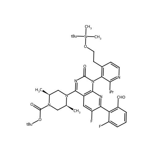 CC(C)c1nccc(CCO[Si](C)(C)C(C)(C)C)c1-n1c(=O)nc(N2C[C@H](C)N(C(=O)OC(C)(C)C)C[C@@H]2C)c2cc(F)c(-c3c(F)cccc3C=O)nc21